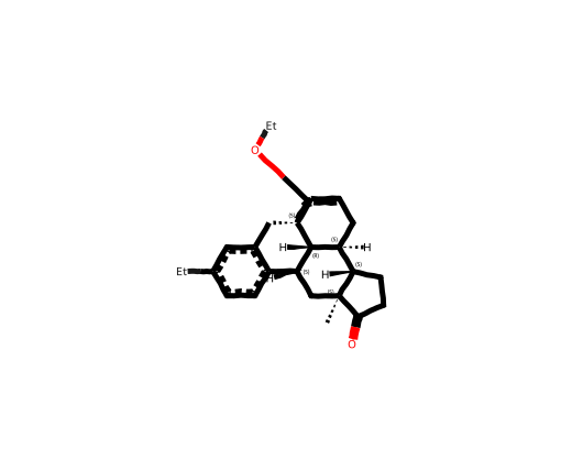 CCOC1=CC2=CC[C@@H]3[C@@H]4[C@H](C[C@]5(C)C(=O)CC[C@@H]35)c3ccc(CC)cc3C[C@]24CC1